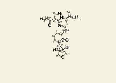 CNc1cc(Nc2cccn([C@H]3[C@@H]4COC[C@@H]43)c2=O)nc2c(C(N)=O)cnn12